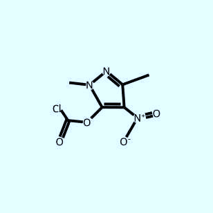 Cc1nn(C)c(OC(=O)Cl)c1[N+](=O)[O-]